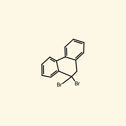 BrC1(Br)Cc2ccccc2-c2ccccc21